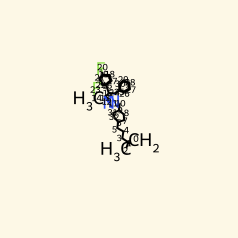 C=C(C)CCCC1CCC(CN2N=C(C)C(c3ccc(F)cc3F)C2c2ccccc2)CC1